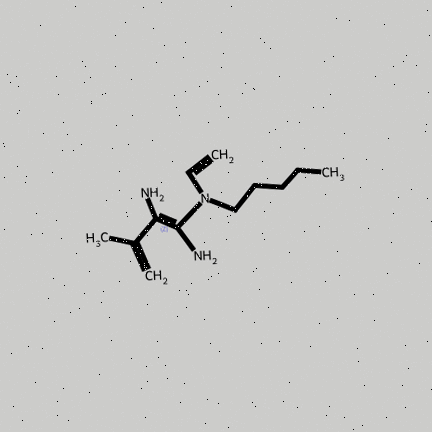 C=CN(CCCCC)/C(N)=C(\N)C(=C)C